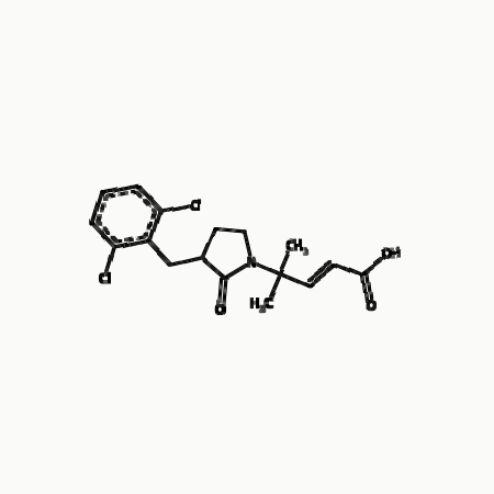 CC(C)(C=CC(=O)O)N1CCC(Cc2c(Cl)cccc2Cl)C1=O